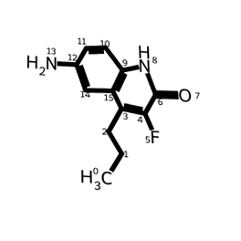 CCCc1c(F)c(=O)[nH]c2ccc(N)cc12